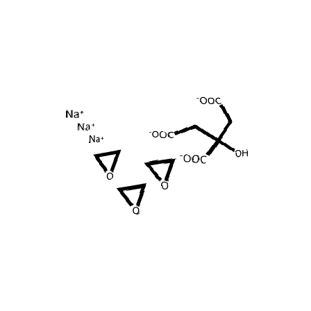 C1CO1.C1CO1.C1CO1.O=C([O-])CC(O)(CC(=O)[O-])C(=O)[O-].[Na+].[Na+].[Na+]